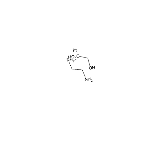 NCCN.O=C(O)CO.[Pt]